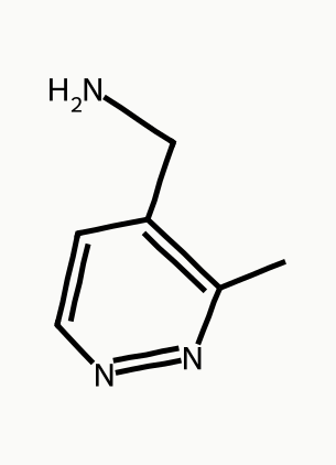 Cc1nnccc1CN